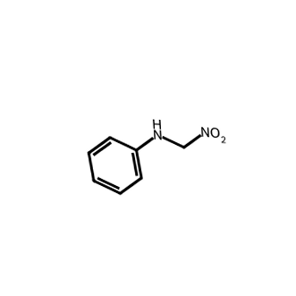 O=[N+]([O-])CNc1ccccc1